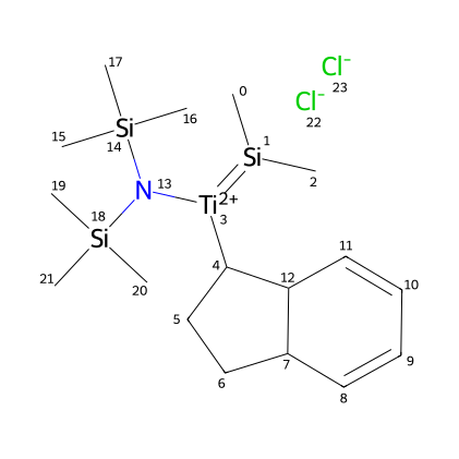 C[Si](C)=[Ti+2]([CH]1CCC2C=CC=CC21)[N]([Si](C)(C)C)[Si](C)(C)C.[Cl-].[Cl-]